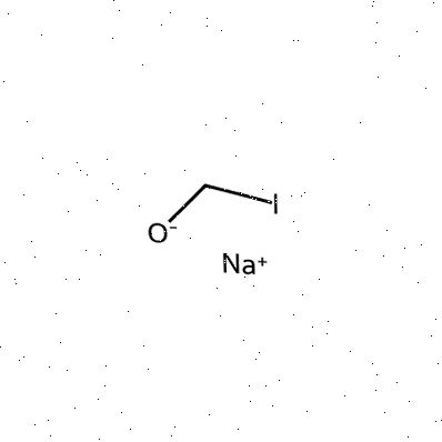 [Na+].[O-]CI